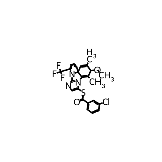 COC1C(C)=CC23C=CC=C(C(F)(F)F)N2c2ncc(SC(=O)c4cccc(Cl)c4)n2C3=C1C